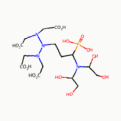 O=C(O)CN(CC(=O)O)N(CCC(N(C(O)CO)C(O)CO)P(=O)(O)O)N(CC(=O)O)CC(=O)O